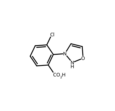 O=C(O)c1cccc(Cl)c1N1C=CON1